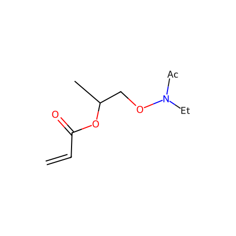 C=CC(=O)OC(C)CON(CC)C(C)=O